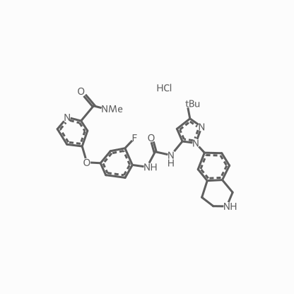 CNC(=O)c1cc(Oc2ccc(NC(=O)Nc3cc(C(C)(C)C)nn3-c3ccc4c(c3)CCNC4)c(F)c2)ccn1.Cl